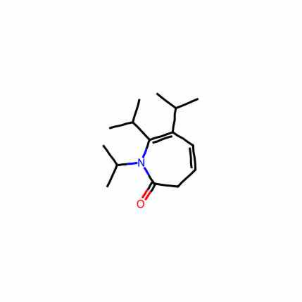 CC(C)C1=C(C(C)C)N(C(C)C)C(=O)CC=C1